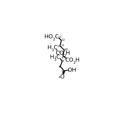 CC(=O)O.CCCC(=O)O.O=C(O)CCCCC(=O)O